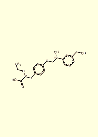 CCO[C@H](Oc1ccc(OC[C@H](O)c2cccc(CO)c2)cc1)C(=O)O